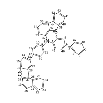 c1ccc(-c2ccc(N(c3ccc(-c4ccc5oc6ccc7ccccc7c6c5c4)cc3)c3cccc4c3sc3ccccc34)cc2)cc1